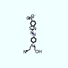 N#CCC[As](CCO)c1ccc(/N=N/c2nc3ccc([N+](=O)[O-])cc3s2)cc1